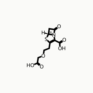 O=C(O)COCCC1=C(C(=O)O)N2C(=O)C[C@H]2S1